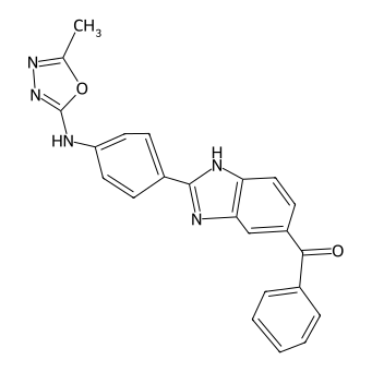 Cc1nnc(Nc2ccc(-c3nc4cc(C(=O)c5ccccc5)ccc4[nH]3)cc2)o1